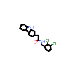 O=C(Cc1ccc2c(c1)[nH]c1ccccc12)NCc1cccc(Cl)c1Cl